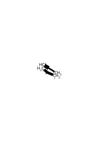 C#CC.C=C=C